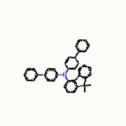 CC1(C)c2ccccc2-c2c(N(C3=CCC(c4ccccc4)C=C3)c3ccc(-c4ccccc4)cc3)cccc21